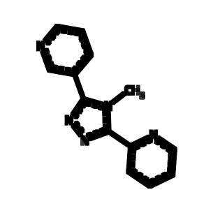 Cn1c(-c2cccnc2)nnc1-c1ccccn1